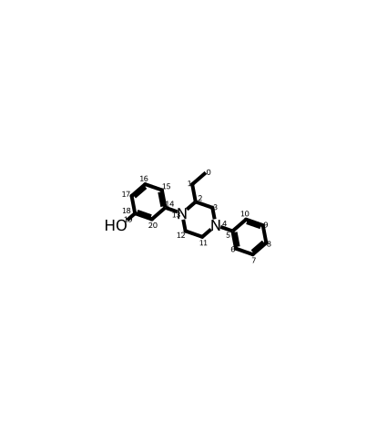 CCC1CN(c2ccccc2)CCN1c1cccc(O)c1